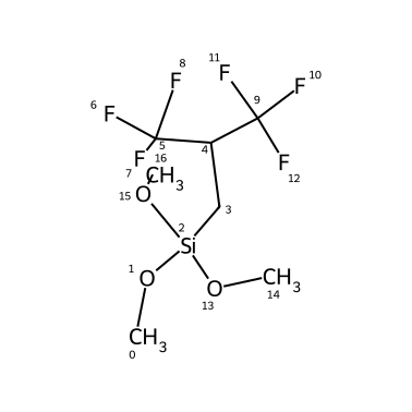 CO[Si](CC(C(F)(F)F)C(F)(F)F)(OC)OC